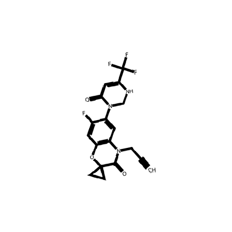 C#CCN1C(=O)C2(CC2)Oc2cc(F)c(N3CNC(C(F)(F)F)=CC3=O)cc21